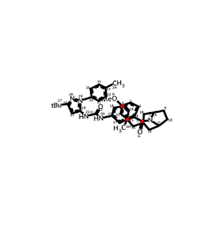 COc1ccc(C(=O)N2C3CCC2CC(Cc2cccc(NC(=O)Nc4cc(C(C)(C)C)nn4-c4ccc(C)cc4)c2)C3)c(C)c1